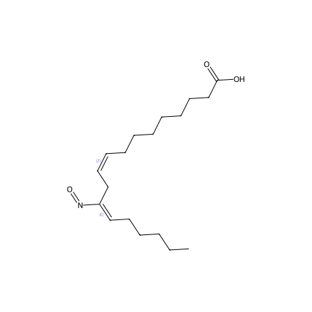 CCCCC/C=C(\C/C=C\CCCCCCCC(=O)O)N=O